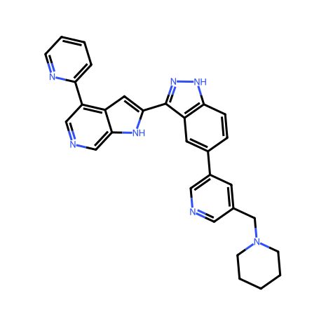 c1ccc(-c2cncc3[nH]c(-c4n[nH]c5ccc(-c6cncc(CN7CCCCC7)c6)cc45)cc23)nc1